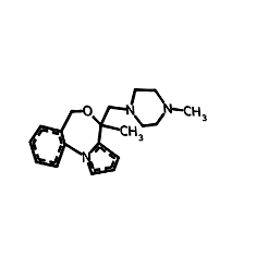 CN1CCN(CC2(C)OCc3ccccc3-n3cccc32)CC1